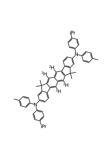 [2H]c1c2c(c([2H])c3c([2H])c4c(c([2H])c13)C(C)(C)c1cc(N(c3ccc(C)cc3)c3ccc(C(C)C)cc3)ccc1-4)C(C)(C)c1cc(N(c3ccc(C)cc3)c3ccc(C(C)C)cc3)ccc1-2